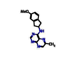 COc1ccc2c(c1)CC(Nc1ncnc3ncc(C)nc13)C2